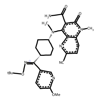 COc1ccc(/C(=N\OC(C)(C)C)[C@H]2CC[C@@H](N(C)c3c(C(N)=O)c(=O)n(C)c4ccc(C#N)nc34)CC2)cn1